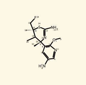 COc1ncc(N)cc1[C@@]1(C)N=C(N)S[C@](C)(CF)C1C